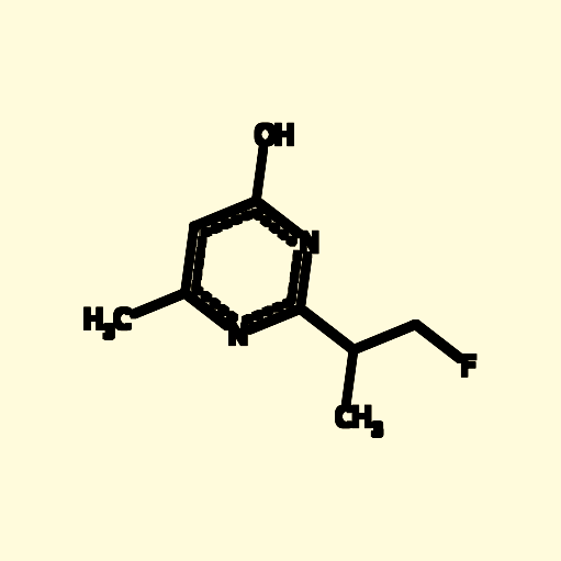 Cc1cc(O)nc(C(C)CF)n1